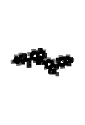 Cc1cc(Nc2ncnc3ccc(NC4=NC5(CCC5)CO4)cc23)ccc1Oc1cc2nncn2cn1